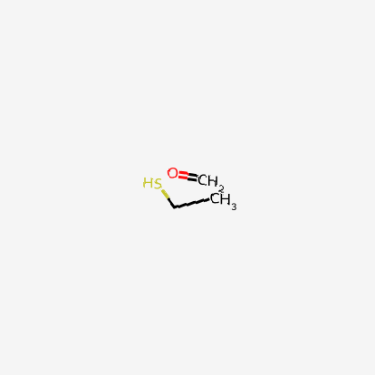 C=O.CCS